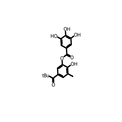 Cc1cc(C(=O)C(C)(C)C)cc(OC(=O)c2cc(O)c(O)c(O)c2)c1O